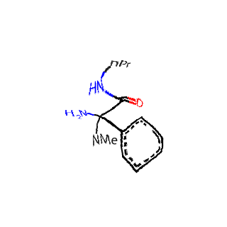 [CH2]NC(N)(C(=O)NCCC)c1ccccc1